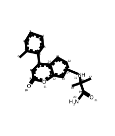 Cc1ccccc1-c1cc(=O)oc2cc(NC(C)(C)C(N)=O)ccc12